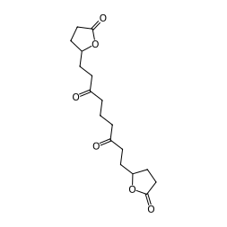 O=C(CCCC(=O)CCC1CCC(=O)O1)CCC1CCC(=O)O1